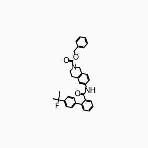 CC(F)(I)c1ccc(-c2ccccc2C(=O)Nc2ccc3c(c2)CCN(C(=O)OCc2ccccc2)C3)cc1